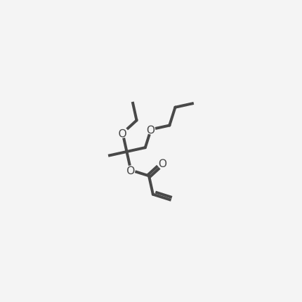 C=CC(=O)OC(C)(COCCC)OCC